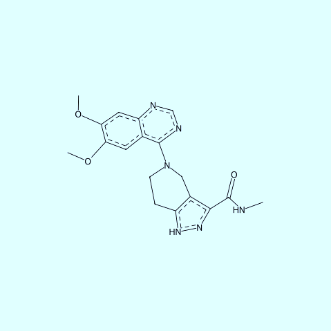 CNC(=O)c1n[nH]c2c1CN(c1ncnc3cc(OC)c(OC)cc13)CC2